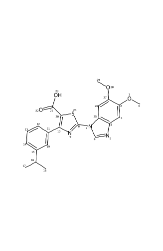 COc1cc2ncn(-c3nc(-c4cccc(C(C)C)c4)c(C(=O)O)s3)c2cc1OC